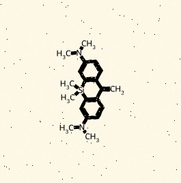 C=C1c2ccc(N(C)C)cc2[Si](C)(C)c2cc(N(C)C)ccc21